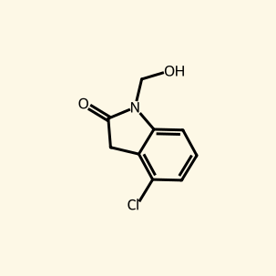 O=C1Cc2c(Cl)cccc2N1CO